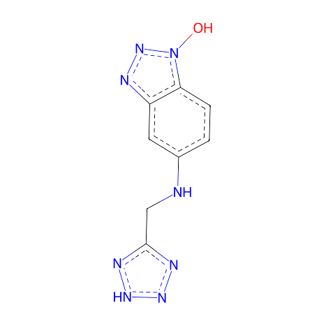 On1nnc2cc(NCc3nn[nH]n3)ccc21